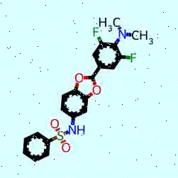 CN(C)c1c(F)cc(C2Oc3ccc(NS(=O)(=O)c4ccccc4)cc3O2)cc1F